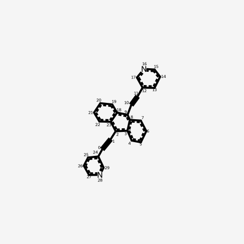 C(#Cc1c2ccccc2c(C#Cc2cccnc2)c2ccccc12)c1cccnc1